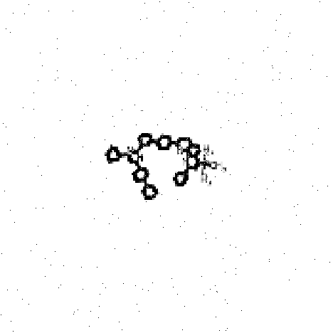 CC(C)(C)c1cc(-c2ccccc2)nc2c1ccc1ccc(-c3ccc(-c4cccc(-c5nc(-c6ccccc6)cc(-c6ccc(-c7ccccc7)cc6)n5)c4)cc3)nc12